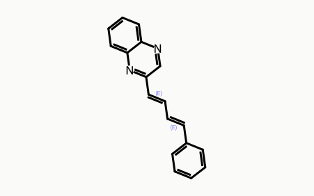 C(/C=C/c1cnc2ccccc2n1)=C\c1ccccc1